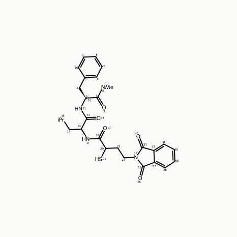 CNC(=O)[C@H](Cc1ccccc1)NC(=O)C(CC(C)C)NC(=O)C(S)CCN1C(=O)c2ccccc2C1=O